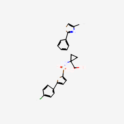 Cc1csc(-c2cccc([C@@H]3CC3(NS(=O)(=O)c3ccc(-c4ccc(Cl)cc4)s3)C(=O)O)c2)n1